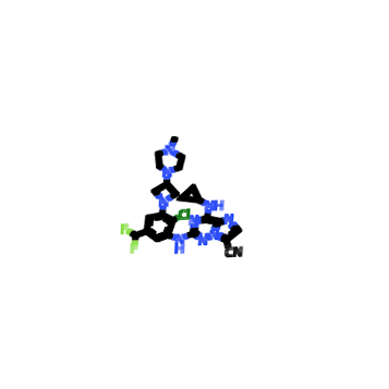 CN1CCN(C2CN(c3cc(C(F)F)cc(Nc4nc(NC5CC5)c5ncc(C#N)n5n4)c3Cl)C2)CC1